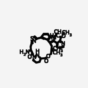 CCn1c(-c2cccnc2C(C)OC)c2c3cc(ccc31)-c1csc(n1)CC(N)C(=O)N1CCCC(N1)C(=O)OCC(C)(C)C2